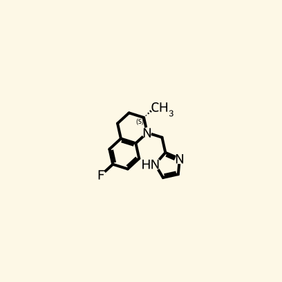 C[C@H]1CCc2cc(F)ccc2N1Cc1ncc[nH]1